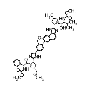 COC[C@H]1C[C@@H](c2ncc(-c3ccc4c(c3)COc3cc5c(ccc6nc([C@@H]7C[C@H](C)CN7C(O)[C@@H](NC(=O)OC)C(C)C)[nH]c65)cc3-4)[nH]2)N(C(=O)[C@H](NC(=O)OC)c2ccccc2)C1